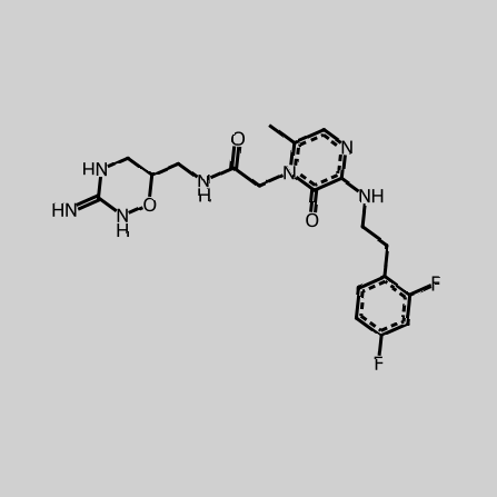 Cc1cnc(NCCc2ccc(F)cc2F)c(=O)n1CC(=O)NCC1CNC(=N)NO1